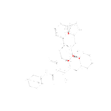 CC(C)S(=O)(=O)CC(CCc1ccccc1)C(=O)[C@@H](C(=O)NC1CN2CCC1CC2)[C@@H](O)[C@H](CC1CCCCC1)NC(=O)[C@@H](N)Cc1c[nH]cn1